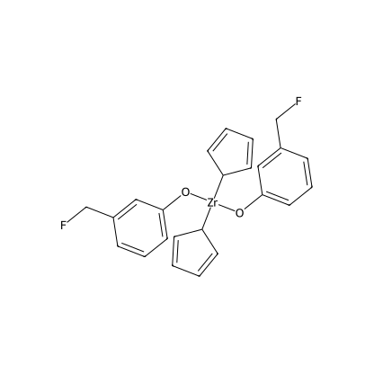 FCc1cccc([O][Zr]([O]c2cccc(CF)c2)([CH]2C=CC=C2)[CH]2C=CC=C2)c1